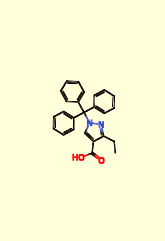 CCc1nn(C(c2ccccc2)(c2ccccc2)c2ccccc2)cc1C(=O)O